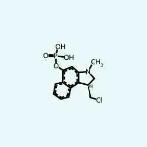 CN1C[C@@H](CCl)c2c1cc(OP(=O)(O)O)c1ccccc21